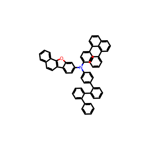 c1ccc(-c2ccccc2-c2ccccc2-c2ccc(N(c3ccc(-c4cccc5cccc(-c6ccccc6)c45)cc3)c3ccc4c(c3)oc3c5ccccc5ccc43)cc2)cc1